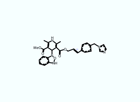 COC(=O)C1=C(C)NC(C)=C(C(=O)OC/C=C/c2ccc(Cn3ccnc3)cc2)C1N1ONc2ccccc21